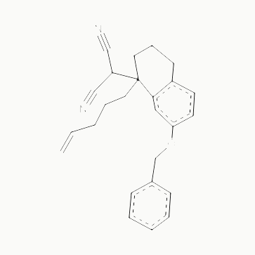 C=CCCCC1(C(C#N)C#N)CCCc2ccc(OCc3ccccc3)cc21